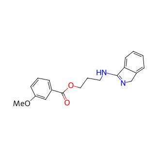 COc1cccc(C(=O)OCCCNC2=NCc3ccccc32)c1